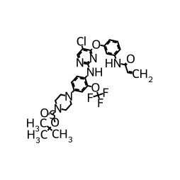 C=CC(=O)Nc1cccc(Oc2nc(Nc3ccc(N4CCN(S(=O)OC(C)(C)C)CC4)cc3OC(F)(F)F)ncc2Cl)c1